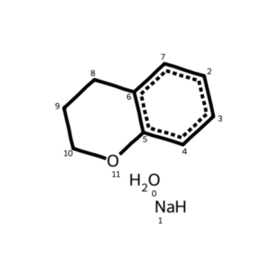 O.[NaH].c1ccc2c(c1)CCCO2